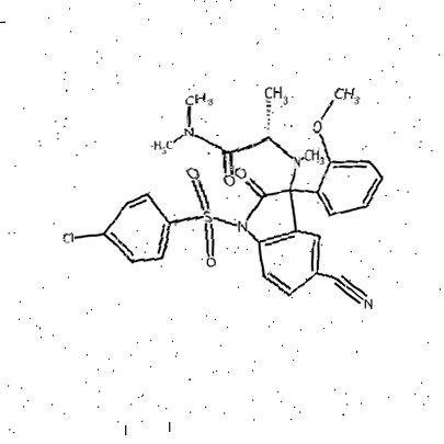 COc1ccccc1C1(N(C)[C@@H](C)C(=O)N(C)C)C(=O)N(S(=O)(=O)c2ccc(Cl)cc2)c2ccc(C#N)cc21